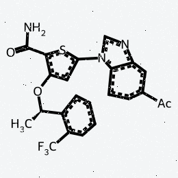 CC(=O)c1ccc2c(c1)ncn2-c1cc(O[C@H](C)c2ccccc2C(F)(F)F)c(C(N)=O)s1